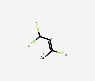 CC(=O)/C(F)=C\C(F)F